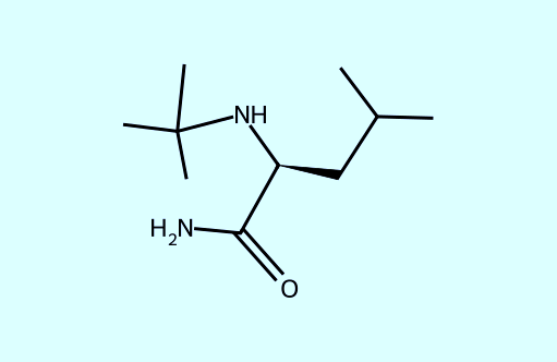 CC(C)C[C@H](NC(C)(C)C)C(N)=O